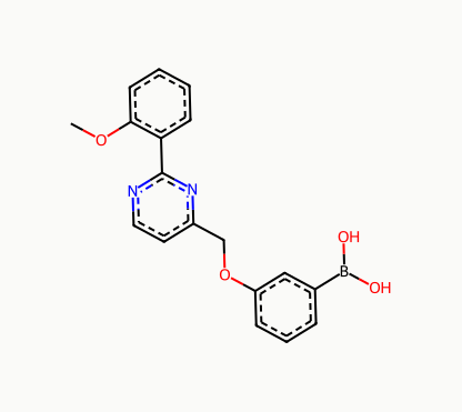 COc1ccccc1-c1nccc(COc2cccc(B(O)O)c2)n1